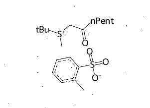 CCCCCC(=O)C[S+](C)C(C)(C)C.Cc1ccccc1S(=O)(=O)[O-]